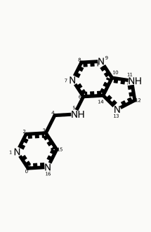 c1ncc(CNc2ncnc3[nH]cnc23)cn1